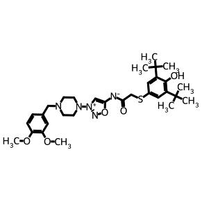 COc1ccc(CN2CCN([n+]3cc([N-]C(=O)CSc4cc(C(C)(C)C)c(O)c(C(C)(C)C)c4)on3)CC2)cc1OC